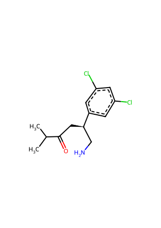 CC(C)C(=O)C[C@H](CN)c1cc(Cl)cc(Cl)c1